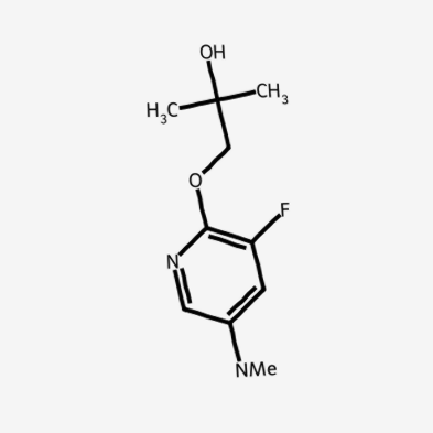 CNc1cnc(OCC(C)(C)O)c(F)c1